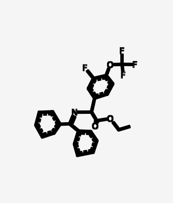 CCOC(=O)C(N=C(c1ccccc1)c1ccccc1)c1ccc(OC(F)(F)F)c(F)c1